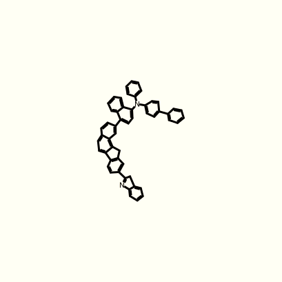 c1ccc(-c2ccc(N(c3ccccc3)c3ccc(-c4ccc5ccc6c(c5c4)Cc4cc(C5=Nc7ccccc7C5)ccc4-6)c4ccccc34)cc2)cc1